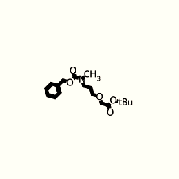 CN(CCCOCC(=O)OC(C)(C)C)C(=O)OCc1ccccc1